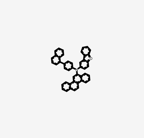 c1ccc2c(-c3ccc(N(c4ccc5oc6ccccc6c5c4)c4cc5c6ccccc6ccc5c5ccccc45)cc3)cccc2c1